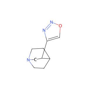 c1onnc1C1CN2CCC1CC2